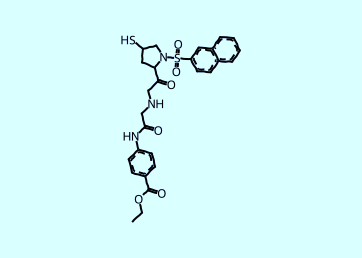 CCOC(=O)c1ccc(NC(=O)CNCC(=O)C2CC(S)CN2S(=O)(=O)c2ccc3ccccc3c2)cc1